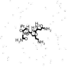 CC(C)[C@H](NC(=O)[C@H](CCCCN)NC(=O)[C@@H](N)CC(N)=O)C(=O)NCC(N)=O